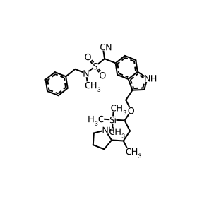 CC(CC(OCc1c[nH]c2ccc(C(C#N)S(=O)(=O)N(C)Cc3ccccc3)cc12)[Si](C)(C)C)C1CCCN1